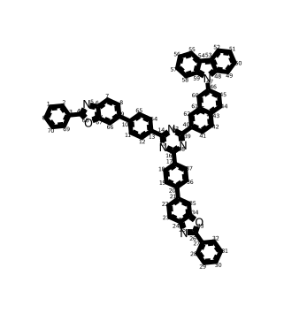 c1ccc(-c2nc3ccc(-c4ccc(-c5nc(-c6ccc(-c7ccc8nc(-c9ccccc9)oc8c7)cc6)nc(-c6ccc7ccc(-n8c9ccccc9c9ccccc98)cc7c6)n5)cc4)cc3o2)cc1